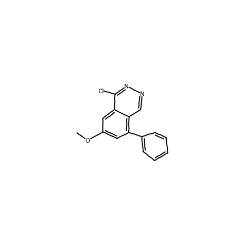 COc1cc(-c2ccccc2)c2cnnc(Cl)c2c1